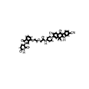 CCc1cc2c(cc1N1CCC(NC(=O)COCCSc3cccc4c3CN(C3CCC(=O)NC3=O)C4=O)CC1)C(C)(C)c1[nH]c3cc(C#N)ccc3c1C2=O